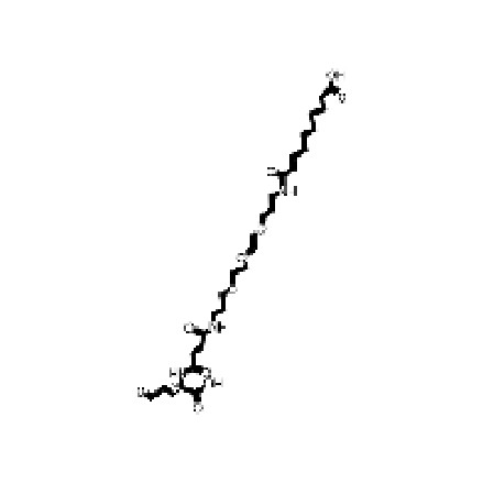 O=[C]CC[C@H](NC(=O)CCC(=O)NCCCOCCOCCOCCCNC(=O)CCCCCCCCC(=O)O)C(=O)O